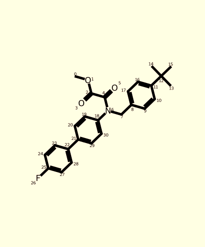 COC(=O)C(=O)N(Cc1ccc(C(C)(C)C)cc1)c1ccc(-c2ccc(F)cc2)cc1